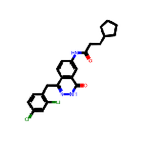 O=C(CCC1CCCC1)Nc1ccc2c(Cc3ccc(Cl)cc3Cl)n[nH]c(=O)c2c1